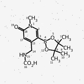 Cn1cc(B2OC(C)(C)C(C)(C)O2)c(CNC(=O)O)cc1=O